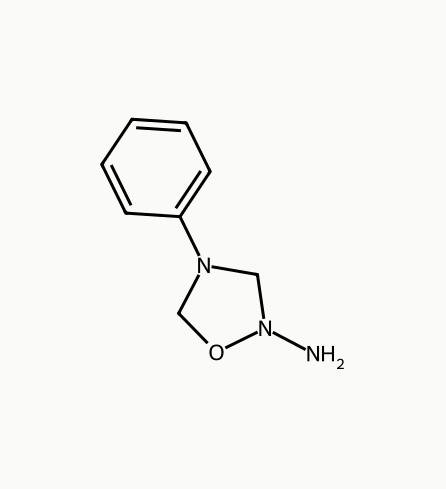 NN1CN(c2ccccc2)CO1